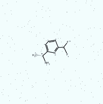 C[C@@H](N)c1cccc(C(F)F)n1